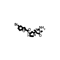 CN1C(=O)CC(C)(c2cc(NC(=O)c3cc4cc(Br)ccc4o3)ccn2)N=C1N